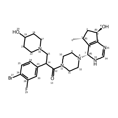 C[C@@H]1C[C@@H](O)C2=C1[C@@H](N1CCN(C(=O)C(CN3CCC(O)CC3)c3ccc(Br)c(F)c3)CC1)NC=N2